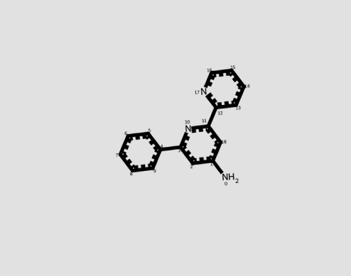 Nc1cc(-c2ccccc2)nc(-c2ccccn2)c1